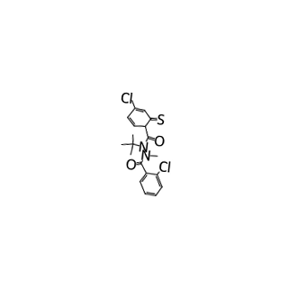 CN(C(=O)c1ccccc1Cl)N(C(=O)C1C=CC(Cl)=CC1=S)C(C)(C)C